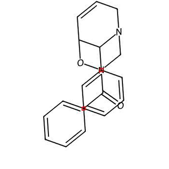 O=C(c1ccccc1)N1CN2CC=CC(O1)C2c1ccccc1